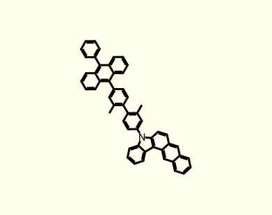 Cc1cc(-c2c3ccccc3c(-c3ccccc3)c3ccccc23)ccc1-c1ccc(-n2c3ccccc3c3c4cc5ccccc5cc4ccc32)cc1C